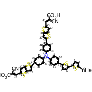 CCCCCCc1ccc(-c2ccc(-c3ccc(N(c4ccc(-c5cc6sc(/C=C(\C#N)C(=O)O)cc6s5)cc4)c4ccc(-c5cc6sc(/C=C(\C#N)C(=O)O)cc6s5)cc4)cc3)s2)s1